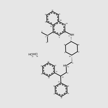 CN(C)c1nc(N[C@H]2CC[C@@H](CNCC(c3ccccc3)c3ccccc3)CC2)nc2ccccc12.Cl.Cl